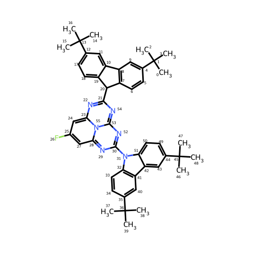 CC(C)(C)c1ccc2c(c1)-c1cc(C(C)(C)C)ccc1C2C1=NC2=CC(F)=CC3=NC(n4c5ccc(C(C)(C)C)cc5c5cc(C(C)(C)C)ccc54)=NC(=N1)N23